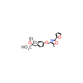 CCO[C@@](CC)(Cc1ccc(OCc2nc(-c3ccco3)oc2C)cc1)C(=O)O